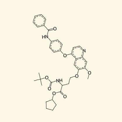 COc1cc2nccc(Oc3ccc(NC(=O)c4ccccc4)cc3)c2cc1OCCC(NC(=O)OC(C)(C)C)C(=O)OC1CCCC1